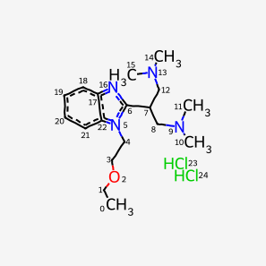 CCOCCn1c(C(CN(C)C)CN(C)C)nc2ccccc21.Cl.Cl